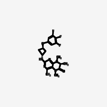 Cc1nc(N[C@H]2C[C@H](Oc3cc(F)c(F)c(F)c3)C2)nc2c1N(C)C(=O)[C@H](C)N2C